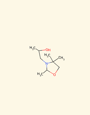 CC(O)CN1C(C)OCC1(C)C